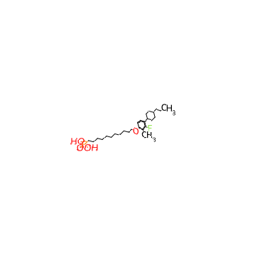 CCCC1CCC(c2ccc(OCCCCCCCCCCCP(=O)(O)O)c(C)c2F)CC1